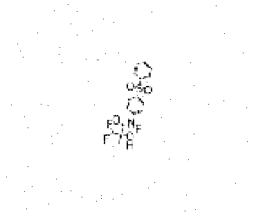 CC(O)(C(=O)N(F)c1ccc(S(=O)(=O)c2ccccc2)cc1)C(F)F